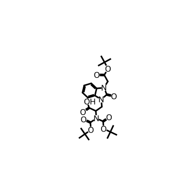 CC(C)(C)OC(=O)Cn1c(=O)n(CC(C(=O)O)N(C(=O)OC(C)(C)C)C(=O)OC(C)(C)C)c2ccccc21